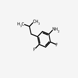 CC(C)Cc1cc(N)c(F)cc1F